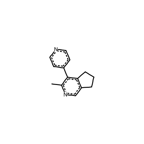 Cc1ncc2c(c1-c1ccncc1)CCC2